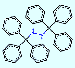 c1ccc(C(NNC(c2ccccc2)(c2ccccc2)c2ccccc2)(c2ccccc2)c2ccccc2)cc1